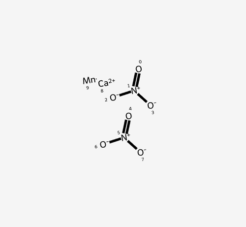 O=[N+]([O-])[O-].O=[N+]([O-])[O-].[Ca+2].[Mn]